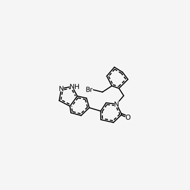 O=c1ccc(-c2ccc3cn[nH]c3c2)cn1Cc1ccccc1CBr